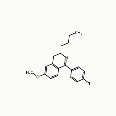 CCCC[C@H]1Cc2cc(OC)ccc2C(c2ccc(I)cc2)=N1